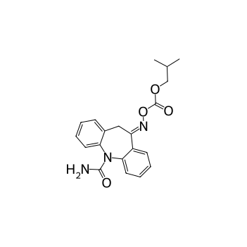 CC(C)COC(=O)ON=C1Cc2ccccc2N(C(N)=O)c2ccccc21